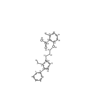 CCc1c(-c2ccccc2)ncn1CCCOc1cccc(C)c1[N+](=O)[O-]